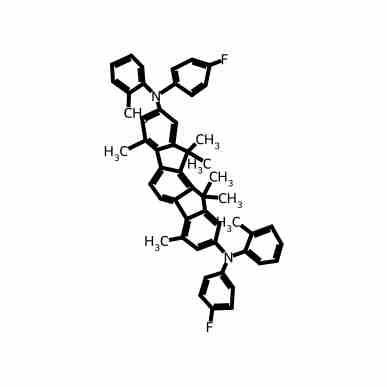 Cc1ccccc1N(c1ccc(F)cc1)c1cc(C)c2c(c1)C(C)(C)c1c-2ccc2c1C(C)(C)c1cc(N(c3ccc(F)cc3)c3ccccc3C)cc(C)c1-2